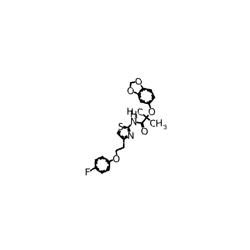 CC(C)(Oc1ccc2c(c1)OCO2)C(=O)Nc1nc(CCOc2ccc(F)cc2)cs1